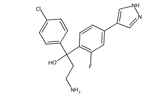 NCCC(O)(c1ccc(Cl)cc1)c1ccc(-c2cn[nH]c2)cc1F